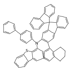 c1ccc(-c2ccc(N(c3cc4c(cc3-c3cccc5c3CCCC5)-c3ccccc3C43c4ccccc4-c4ccccc43)c3cccc4c3sc3ccccc34)cc2)cc1